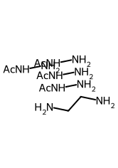 CC(=O)NN.CC(=O)NN.CC(=O)NN.CC(=O)NN.NCCN